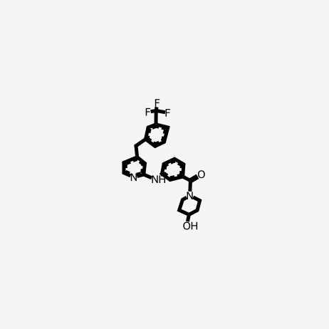 O=C(c1cccc(Nc2cc(Cc3cccc(C(F)(F)F)c3)ccn2)c1)N1CCC(O)CC1